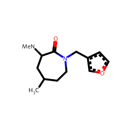 CNC1CC(C)CCN(Cc2ccoc2)C1=O